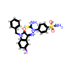 NC(=S)N(/N=C1\C(=O)N(Cc2ccccc2)c2ccc(I)cc21)c1ccc(S(N)(=O)=O)cc1